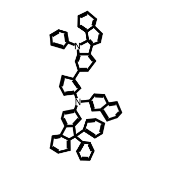 c1ccc(-n2c3cc(-c4cccc(N(c5ccc6c(c5)C(c5ccccc5)(c5ccccc5)c5ccccc5-6)c5ccc6ccccc6c5)c4)ccc3c3ccc4ccccc4c32)cc1